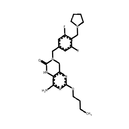 CCCCOc1nc(N)c2c(n1)CN(Cc1cc(F)c(CN3CCCC3)c(F)c1)C(=O)N2